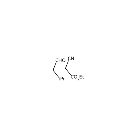 CC(C)CC=O.CCOC(=O)CC#N